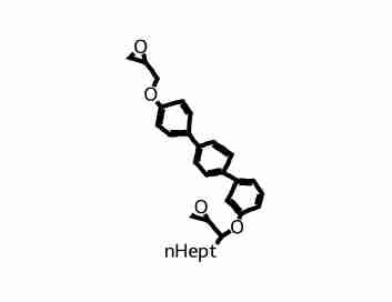 CCCCCCCC(Oc1cccc(-c2ccc(-c3ccc(OCC4CO4)cc3)cc2)c1)C1CO1